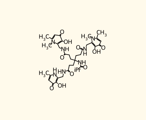 Cc1cc(=O)c(O)c(CNC(=O)CCC(CCC(=O)NCc2c(O)c(=O)cc(C)n2C)(CCC(=O)NCc2c(O)c(=O)cc(C)n2C)NC(=O)C(C)C)[nH]1